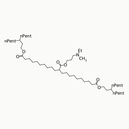 CCCCCC(CCCCC)CCOC(=O)CCCCCCCCCC(CCCCCCCCCC(=O)OCCC(CCCCC)CCCCC)C(=O)OCCCN(C)CC